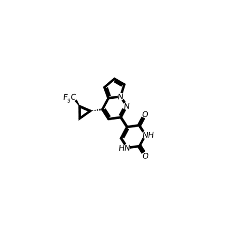 O=c1[nH]cc(-c2cc([C@@H]3C[C@H]3C(F)(F)F)c3cccn3n2)c(=O)[nH]1